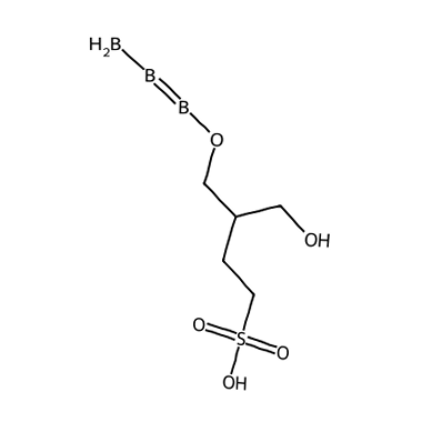 BB=BOCC(CO)CCS(=O)(=O)O